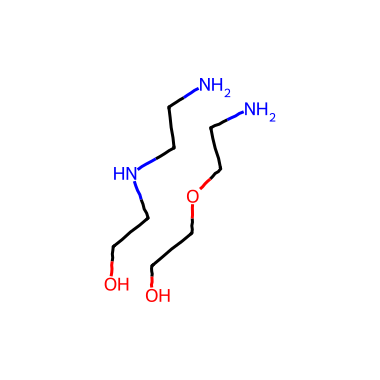 NCCNCCO.NCCOCCO